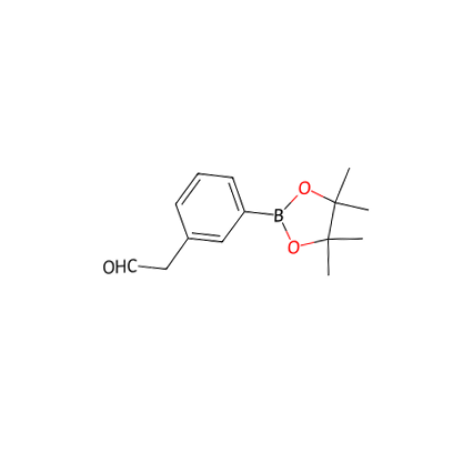 CC1(C)OB(c2cccc(CC=O)c2)OC1(C)C